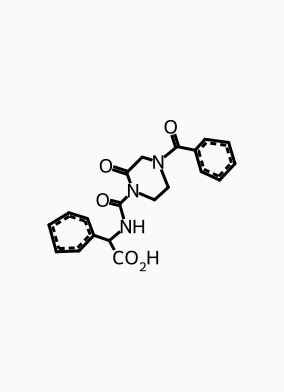 O=C(O)C(NC(=O)N1CCN(C(=O)c2ccccc2)CC1=O)c1ccccc1